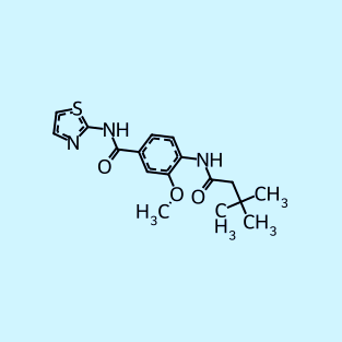 COc1cc(C(=O)Nc2nccs2)ccc1NC(=O)CC(C)(C)C